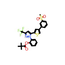 CC(C)(C)C(=O)Oc1ccccc1-n1nc(C(F)(F)F)cc1-c1cc(-c2cccc(S(C)(=O)=O)c2)cs1